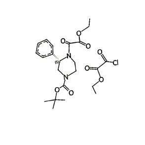 CCOC(=O)C(=O)Cl.CCOC(=O)C(=O)N1CCN(C(=O)OC(C)(C)C)C[C@@H]1c1ccccc1